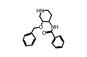 O=C(N[C@@H]1CCNC[C@@H]1OCc1ccccc1)c1ccccc1